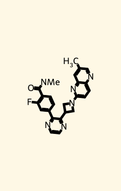 CNC(=O)c1ccc(-c2nccnc2C2CN(c3ccc4ncc(C)cc4n3)C2)cc1F